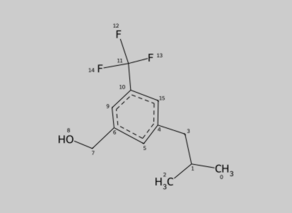 CC(C)Cc1cc(CO)cc(C(F)(F)F)c1